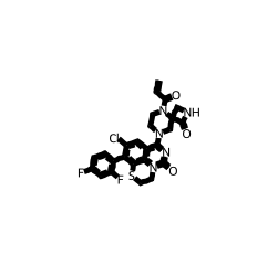 C=CC(=O)N1CCN(c2nc(=O)n3c4c(c(-c5ccc(F)cc5F)c(Cl)cc24)SCC3)CC12CNC2=O